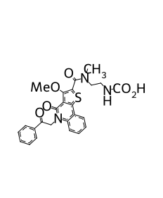 COc1c(C(=O)N(C)CCNC(=O)O)sc2c1c(=O)n(CC(=O)c1ccccc1)c1ccccc21